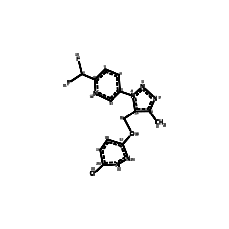 Cc1nnn(-c2ccc(C(F)F)nc2)c1COc1ccc(Cl)nn1